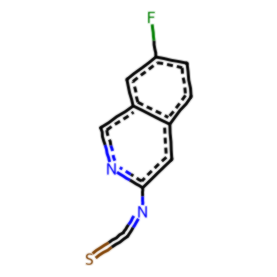 Fc1ccc2cc(N=C=S)ncc2c1